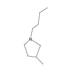 CCCCN1CCC(C)C1